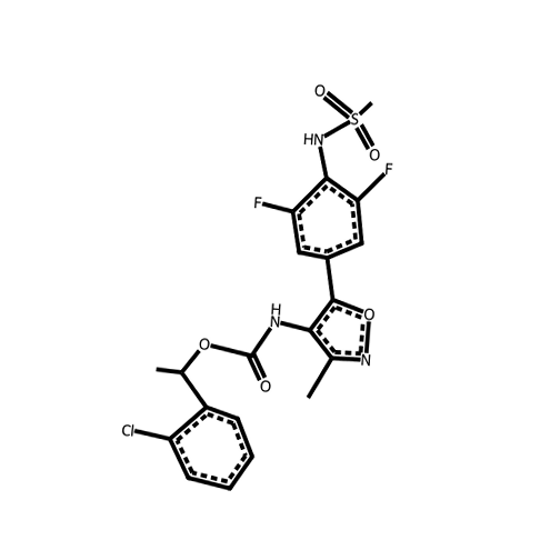 Cc1noc(-c2cc(F)c(NS(C)(=O)=O)c(F)c2)c1NC(=O)OC(C)c1ccccc1Cl